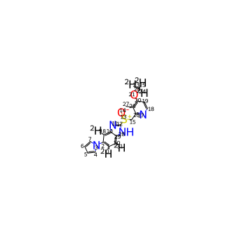 [2H]c1c(-n2cccc2)c([2H])c2nc([S+]([O-])Cc3nccc(OC([2H])([2H])[2H])c3C)[nH]c2c1[2H]